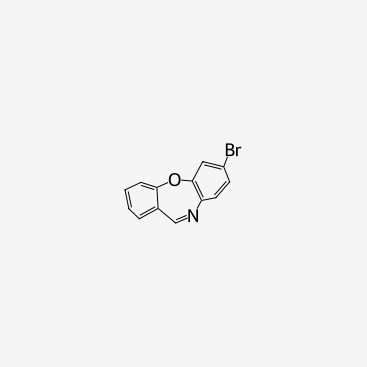 Brc1ccc2c(c1)Oc1ccccc1C=N2